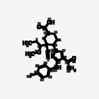 CCC(OC)C1(C#N)CN(C(=O)O)CCC1n1cc(C(N)=O)c(Nc2ccc(F)cc2)n1